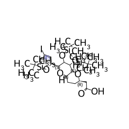 CC(C)(C)[Si](C)(C)OC(/C=C/I)[C@@H]1O[C@H]2CC[C@H](CC(=O)O)O[C@@H]2C(O[Si](C)(C)C(C)(C)C)C1O[Si](C)(C)C(C)(C)C